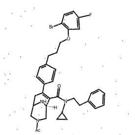 CC(=O)N1CC2CC(c3ccc(CCCOc4cc(F)ccc4Br)cc3)=C(C(=O)N(CCc3ccccc3)C3CC3)[C@@H](C1)N2